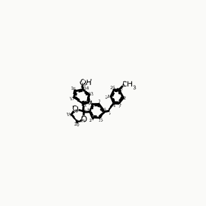 Cc1ccc(Cc2ccc(C3(c4ccc(O)cc4)OCCO3)cc2)cc1